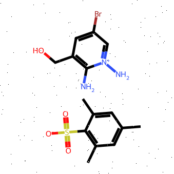 Cc1cc(C)c(S(=O)(=O)[O-])c(C)c1.Nc1c(CO)cc(Br)c[n+]1N